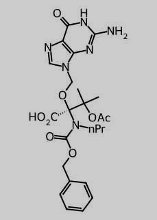 CCCN(C(=O)OCc1ccccc1)[C@](OCn1cnc2c(=O)[nH]c(N)nc21)(C(=O)O)C(C)(C)OC(C)=O